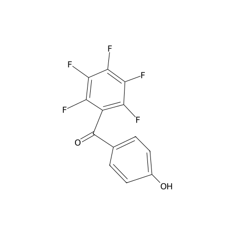 O=C(c1ccc(O)cc1)c1c(F)c(F)c(F)c(F)c1F